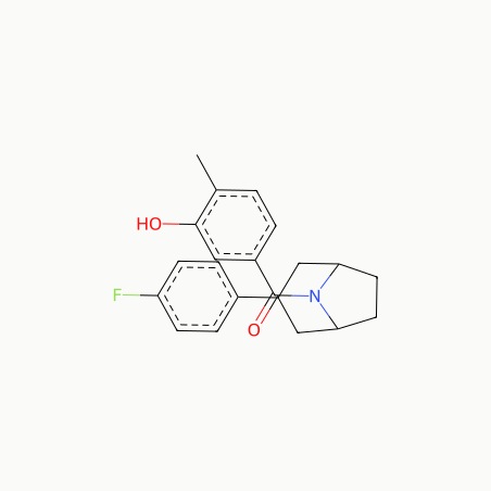 Cc1ccc(C(=O)N2C3CCC2CC(c2ccc(F)cc2)C3)cc1O